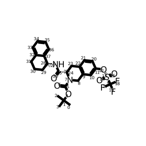 CC(C)(C)OC(=O)N1Cc2cc(OS(=O)(=O)C(F)(F)F)ccc2C[C@H]1C(=O)N[C@@H]1CCCc2ccccc21